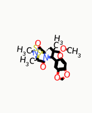 COC(=O)[C@@]1(C)C[C@]23C(=O)N(C)[C@](C)(C(=O)N2C1c1ccc2c(c1)OCO2)S3=S